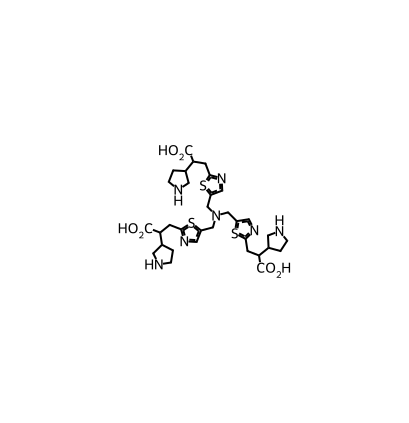 O=C(O)C(Cc1ncc(CN(Cc2cnc(CC(C(=O)O)C3CCNC3)s2)Cc2cnc(CC(C(=O)O)C3CCNC3)s2)s1)C1CCNC1